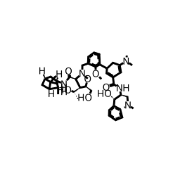 COc1c(CN2O[C@@H](CO)[C@@H]([C@H](C)O)[C@H]2C(=O)N[C@H]2C[C@H]3C[C@@H]([C@@H]2C)C3(C)C)cccc1C1C=C(C(=O)N[C@@H](CN(C)C)[C@@H](O)c2ccccc2)C=C(N(C)C)C1